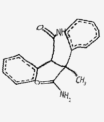 CC(C(N)=O)(c1ccccc1)C(C(N)=O)c1ccccc1